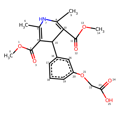 COC(=O)C1=C(C)NC(C)=C(C(=O)OC)C1c1cccc(OCC(=O)O)c1